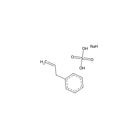 C=CCc1ccccc1.O=S(=O)(O)O.[NaH]